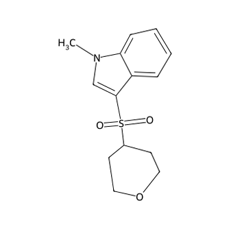 Cn1cc(S(=O)(=O)C2CCOCC2)c2ccccc21